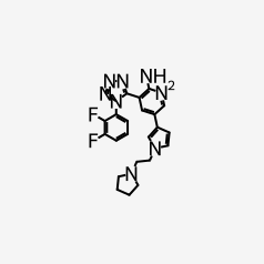 Nc1ncc(-c2ccn(CCN3CCCC3)c2)cc1-c1nnnn1-c1cccc(F)c1F